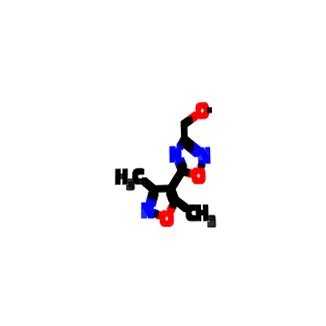 Cc1noc(C)c1-c1nc(C[O])no1